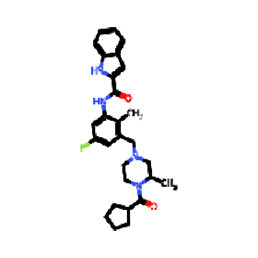 Cc1c(CN2CCN(C(=O)C3CCCC3)C(C)C2)cc(F)cc1NC(=O)c1cc2ccccc2[nH]1